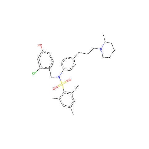 Cc1cc(C)c(S(=O)(=O)N(Cc2ccc(O)cc2Cl)c2ccc(CCCN3CCCCC3C)cc2)c(C)c1